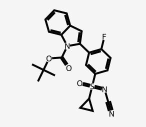 CC(C)(C)OC(=O)n1c(-c2cc(S(=O)(=NC#N)C3CC3)ccc2F)cc2ccccc21